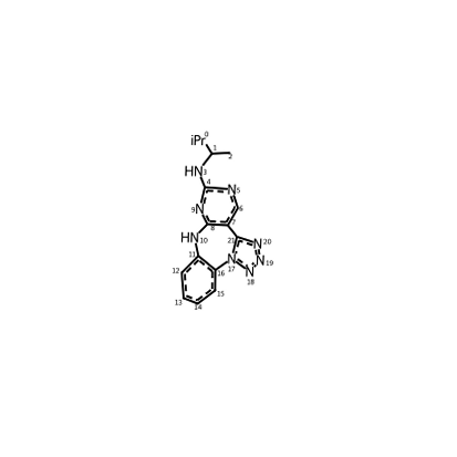 CC(C)C(C)Nc1ncc2c(n1)Nc1ccccc1-n1nnnc1-2